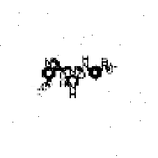 COc1ccc2nccc([C@@H](O)CN(CC(=O)Nc3cccc([N+](=O)[O-])c3)C3CCNCC3)c2c1